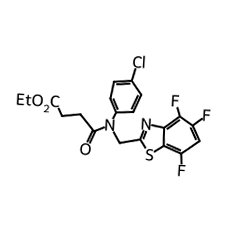 CCOC(=O)CCC(=O)N(Cc1nc2c(F)c(F)cc(F)c2s1)c1ccc(Cl)cc1